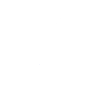 CC1(C)c2ccccc2Sc2ccc(-c3ccc4c(c3)C(C)(C)c3ccccc3N4c3ccccc3)cc21